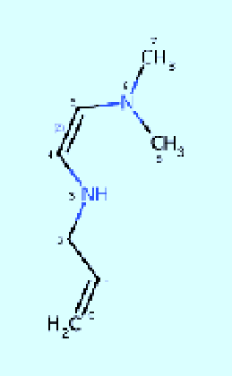 C=CCN/C=C\N(C)C